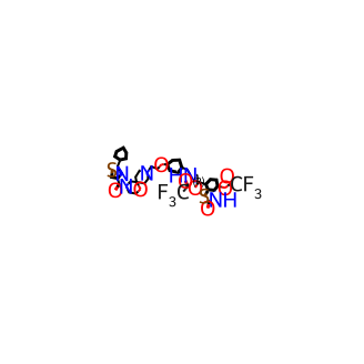 O=C(c1csc(-c2ccccc2)n1)N1CCOC2(CCN(CCOc3ccc(CNC[C@H](OC(=O)C(F)(F)F)c4ccc(OC(=O)C(F)(F)F)c5[nH]c(=O)sc45)cc3)CC2)C1